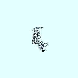 COC(=O)c1ccc([C@H]2SCC(C(=O)Nc3nc(-c4ccc(C(=O)NC5CC5)cc4)cs3)N2C(=O)OCc2ccccc2)cc1